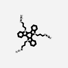 [N-]=[N+]=NCCCn1c2ccccc2c2c1c1c3ccccc3n(CCCN=[N+]=[N-])c1c1c3ccccc3n(CCCN=[N+]=[N-])c21